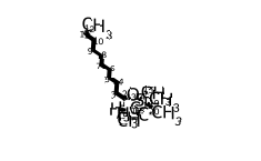 C#C[C@H](CCCCCCCCCC)O[Si](C)(C)C(C)(C)C